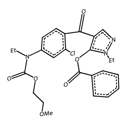 CCN(C(=O)OCCOC)c1ccc(C(=O)c2cnn(CC)c2OC(=O)c2ccccc2)c(Cl)c1